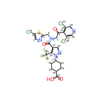 O=C(CN(Cc1ncc(Cl)s1)C(=O)c1cnn(C2CCC(C(=O)O)CC2)c1C(F)(F)F)c1c(Cl)cncc1Cl